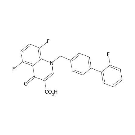 O=C(O)c1cn(Cc2ccc(-c3ccccc3F)cc2)c2c(F)ccc(F)c2c1=O